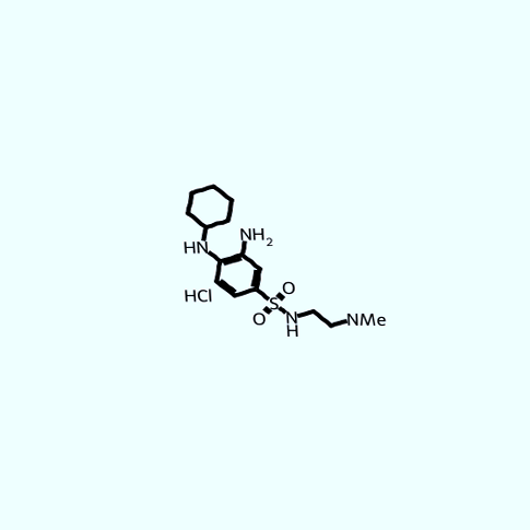 CNCCNS(=O)(=O)c1ccc(NC2CCCCC2)c(N)c1.Cl